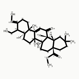 COC(=O)[C@]12CCC(C)(C)C[C@H]1[C@H]1C(=O)C=C3[C@@]4(C)CCC(=NO)C(CO)[C@@H]4CC[C@@]3(C)[C@]1(C)CC2